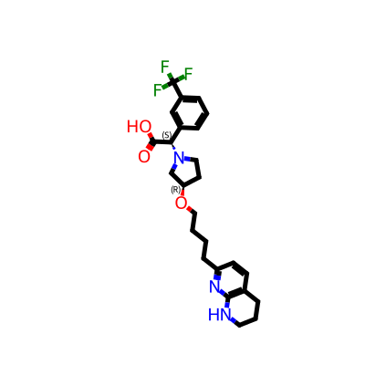 O=C(O)[C@H](c1cccc(C(F)(F)F)c1)N1CC[C@@H](OCCCCc2ccc3c(n2)NCCC3)C1